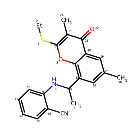 CCSc1oc2c(C(C)Nc3ccccc3C#N)cc(C)cc2c(=O)c1C